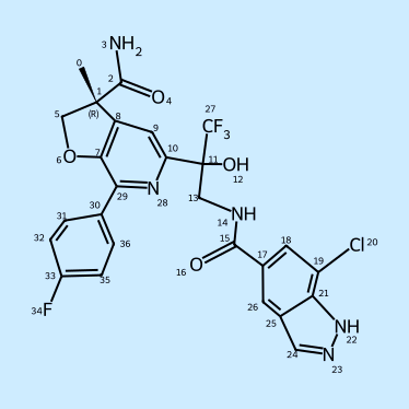 C[C@]1(C(N)=O)COc2c1cc(C(O)(CNC(=O)c1cc(Cl)c3[nH]ncc3c1)C(F)(F)F)nc2-c1ccc(F)cc1